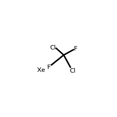 FC(F)(Cl)Cl.[Xe]